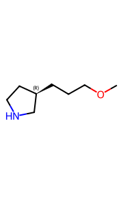 COCCC[C@@H]1CCNC1